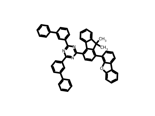 CC1(C)c2ccccc2-c2c(-c3nc(-c4cccc(-c5ccccc5)c4)nc(-c4cccc(-c5ccccc5)c4)n3)ccc(-c3cccc4c3oc3ccccc34)c21